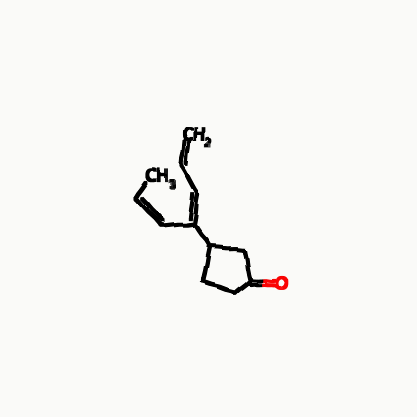 C=C/C=C(\C=C/C)C1CCC(=O)C1